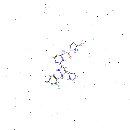 O=C1CCC(C(=O)Nc2ccnc(-c3cc(-c4ccon4)n(Cc4ccccc4F)n3)n2)N1